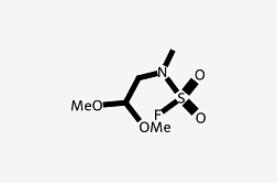 COC(CN(C)S(=O)(=O)F)OC